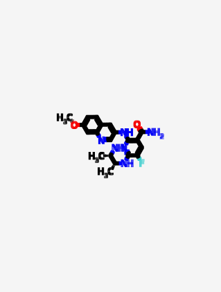 COc1ccc2cc(Nc3nc(N[C@H](C)[C@H](C)N)c(F)cc3C(N)=O)cnc2c1